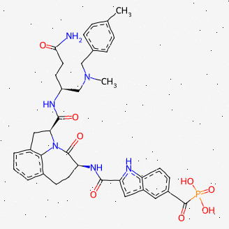 Cc1ccc(CN(C)C[C@H](CCC(N)=O)NC(=O)[C@@H]2Cc3cccc4c3N2C(=O)[C@@H](NC(=O)c2cc3cc(C(=O)P(=O)(O)O)ccc3[nH]2)CC4)cc1